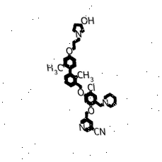 Cc1cc(OCCCN2CC[C@@H](O)C2)ccc1-c1cccc(COc2cc(OCc3cncc(C#N)c3)c(CN3CCCCC3)cc2Cl)c1C